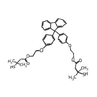 CC(C)(S)CC(=O)OCCOc1ccc(C2(c3ccc(OCCOC(=O)CC(C)(C)S)cc3)c3ccccc3-c3ccccc32)cc1